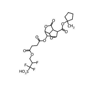 CC1(OC(=O)C2C3OC4C(OC(=O)C42)C3OC(=O)CCC(=O)OCC(F)C(F)(F)S(=O)(=O)O)CCCC1